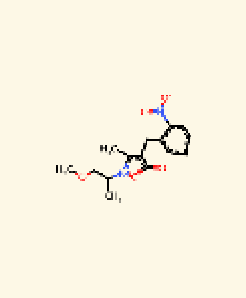 COCC(C)n1oc(=O)c(Cc2ccccc2[N+](=O)[O-])c1C